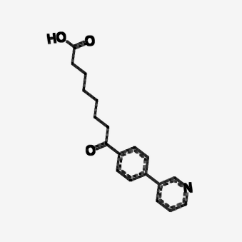 O=C(O)CCCCCCC(=O)c1ccc(-c2cccnc2)cc1